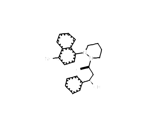 C[C@H](CC(=O)N1CCCCN1c1ccc(C#N)c2ccccc12)c1ccccc1